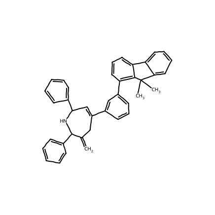 C=C1CC(c2cccc(-c3cccc4c3C(C)(C)c3ccccc3-4)c2)=CC(c2ccccc2)NC1c1ccccc1